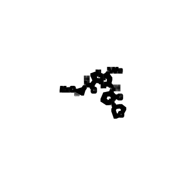 CNc1cc(Nc2cccn(C3CCOCC3)c2=O)nc2c(C(=O)NC3C[C@@H]3OC)cnn12